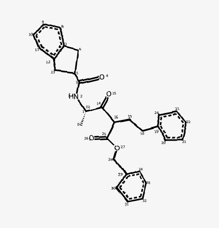 C[C@H](NC(=O)C1Cc2ccccc2C1)C(=O)C(CCc1ccccc1)C(=O)OCc1ccccc1